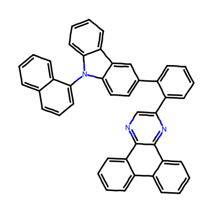 c1ccc(-c2cnc3c4ccccc4c4ccccc4c3n2)c(-c2ccc3c(c2)c2ccccc2n3-c2cccc3ccccc23)c1